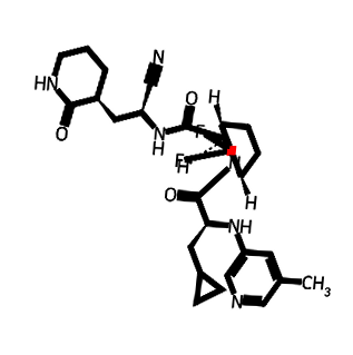 Cc1cncc(N[C@@H](CC2CC2)C(=O)N2[C@H]3CC[C@@H]([C@@H]2C(=O)N[C@H](C#N)C[C@@H]2CCCNC2=O)C(F)(F)C3)c1